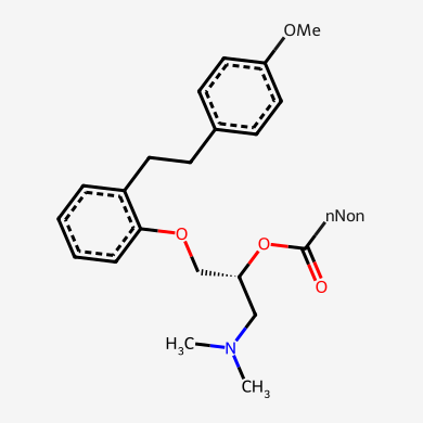 CCCCCCCCCC(=O)O[C@@H](COc1ccccc1CCc1ccc(OC)cc1)CN(C)C